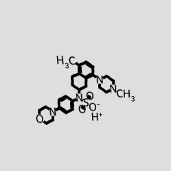 Cc1ccc(N2CCN(C)CC2)c2c1CCC(N(c1ccc(N3CCOCC3)cc1)S(=O)(=O)[O-])C2.[H+]